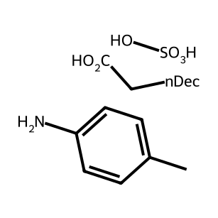 CCCCCCCCCCCC(=O)O.Cc1ccc(N)cc1.O=S(=O)(O)O